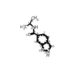 CC(C)NC(=O)c1ccc2c[nH]nc2c1